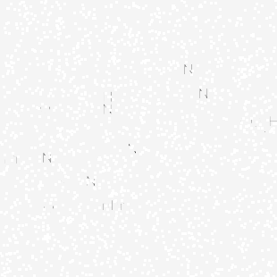 CCCn1c(=O)c2[nH]c(-c3cnn(CC(=O)O)c3)nc2n(CCC)c1=O